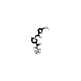 CS(=O)(=O)NNC(=O)C1=CC=CN(CC(=O)c2ccc([N+](=O)[O-])s2)C1